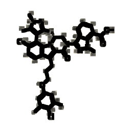 Cc1cc(OCCCc2c3n(c4c(-c5c(C)nn(C)c5C)c(Cl)ccc24)[C@H](C)CN(c2nn(C)c4c(C(=O)O)cccc24)C3=O)cc(C)c1Cl